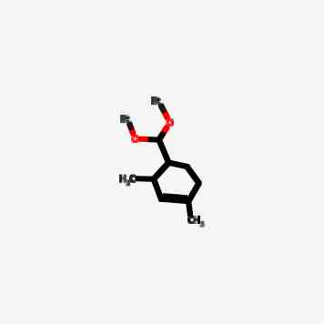 CCOC(OCC)C1CCC(C)=CC1C